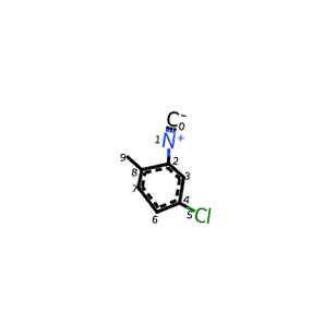 [C-]#[N+]c1cc(Cl)ccc1C